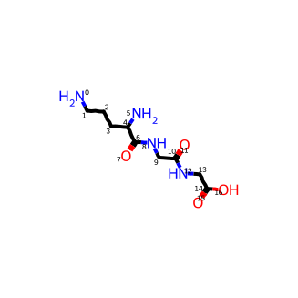 NCCCC(N)C(=O)NCC(=O)NCC(=O)O